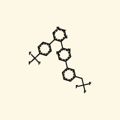 FC(F)(F)Cc1cccc(-c2cnc(-c3n[c]ncc3-c3ccc(C(F)(F)F)cc3)nc2)c1